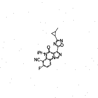 CC1CC1c1noc(-c2ncn3c2c(=O)n(C(C)C)c2c(C#N)c(F)ccc23)n1